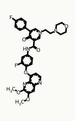 COc1cc2nccc(Oc3ccc(NC(=O)c4cn(CCN5CCOCC5)cc(-c5ccc(F)cc5)c4=O)cc3F)c2nc1OC